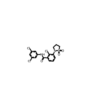 O=C(Nc1cc(Cl)cc(Cl)c1)c1cccc(N2CCCS2(=O)=O)c1Cl